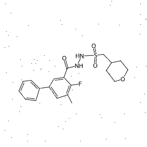 Cc1cc(-c2ccccc2)cc(C(=O)NNS(=O)(=O)CC2CCOCC2)c1F